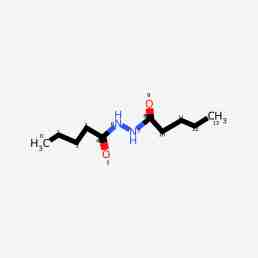 CCCCC(=O)NNC(=O)CCCC